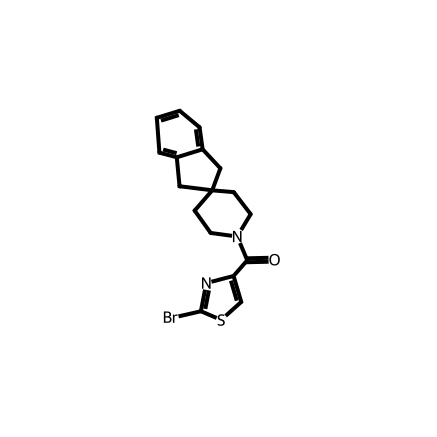 O=C(c1csc(Br)n1)N1CCC2(CC1)Cc1ccccc1C2